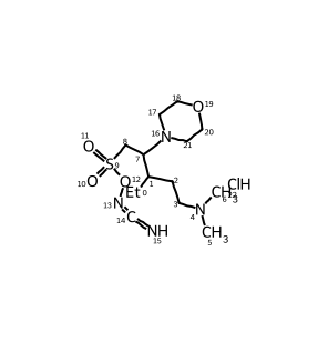 CCC(CCN(C)C)C(CS(=O)(=O)ON=C=N)N1CCOCC1.Cl